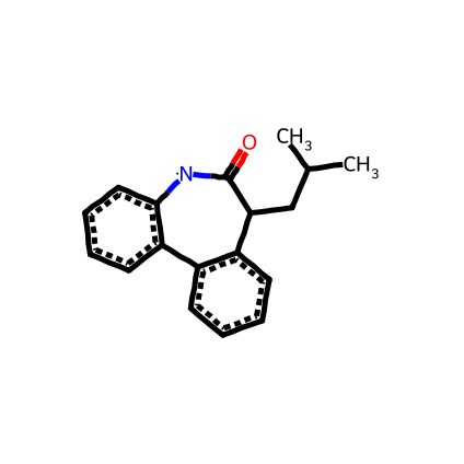 CC(C)CC1C(=O)[N]c2ccccc2-c2ccccc21